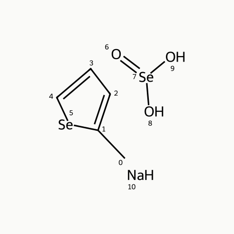 Cc1ccc[se]1.O=[Se](O)O.[NaH]